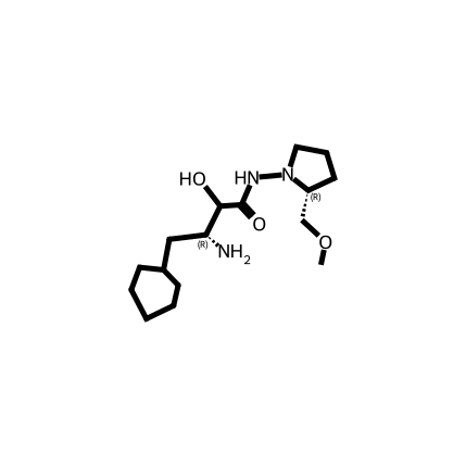 COC[C@H]1CCCN1NC(=O)C(O)[C@H](N)CC1CCCCC1